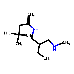 C=C(CC(C)(C)C)NCC(CC)CNC